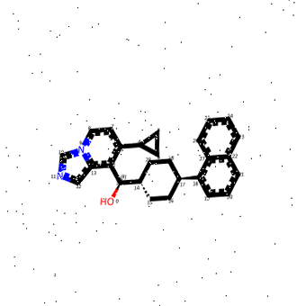 O[C@@H](c1c(C2CC2)ccn2cncc12)[C@H]1CC[C@H](c2cccc3ccccc32)CC1